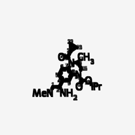 CNCC(N)c1ccc2c(c1)N(C(=O)OC(C)C)C[C@H](C)N2C(=O)C1CC1